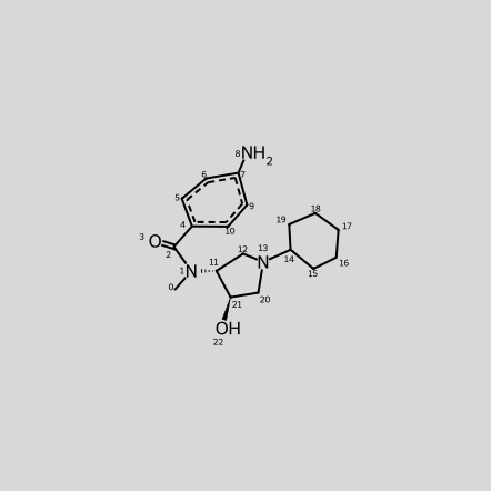 CN(C(=O)c1ccc(N)cc1)[C@@H]1CN(C2CCCCC2)C[C@H]1O